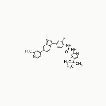 Cc1cc(-c2ccn3c(-c4ccc(NC(=O)Nc5ncc(C(C)(C)C)s5)c(F)c4)cnc3c2)ccn1